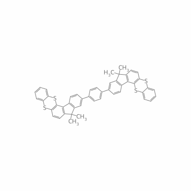 CC1(C)c2cc(-c3ccc(-c4ccc5c(c4)C(C)(C)c4ccc6c(c4-5)Sc4ccccc4S6)cc3)ccc2-c2c1ccc1c2Sc2ccccc2S1